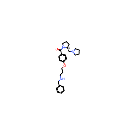 O=C(c1ccc(OCCCNCc2ccccc2)cc1)N1CCC[C@H]1CN1CCCC1